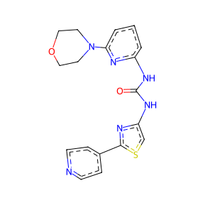 O=C(Nc1cccc(N2CCOCC2)n1)Nc1csc(-c2ccncc2)n1